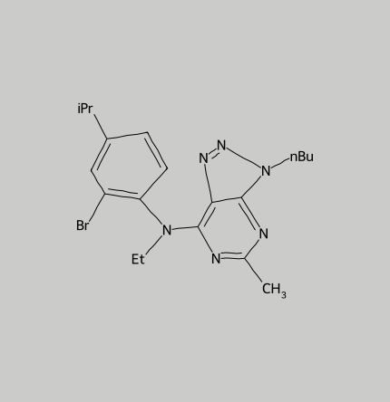 CCCCn1nnc2c(N(CC)c3ccc(C(C)C)cc3Br)nc(C)nc21